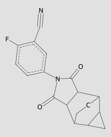 N#Cc1cc(N2C(=O)C3C4CCC(C5CC54)C3C2=O)ccc1F